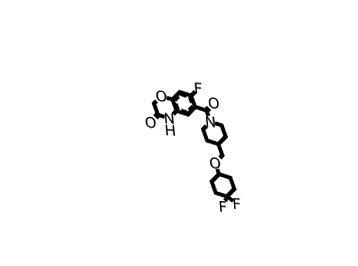 O=C1COc2cc(F)c(C(=O)N3CCC(COC4CCC(F)(F)CC4)CC3)cc2N1